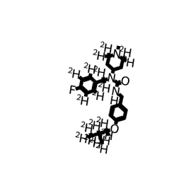 [2H]c1c([2H])c(C([2H])([2H])N(C(=O)NCc2ccc(OC([2H])([2H])C([2H])(C([2H])([2H])[2H])C([2H])([2H])[2H])cc2)C2CC([2H])([2H])N(C)C([2H])([2H])C2)c([2H])c([2H])c1F